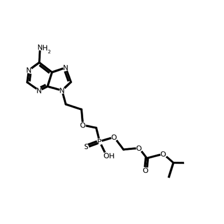 CC(C)OC(=O)OCOP(O)(=S)COCCn1cnc2c(N)ncnc21